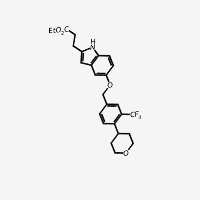 CCOC(=O)CCc1cc2cc(OCc3ccc(C4CCOCC4)c(C(F)(F)F)c3)ccc2[nH]1